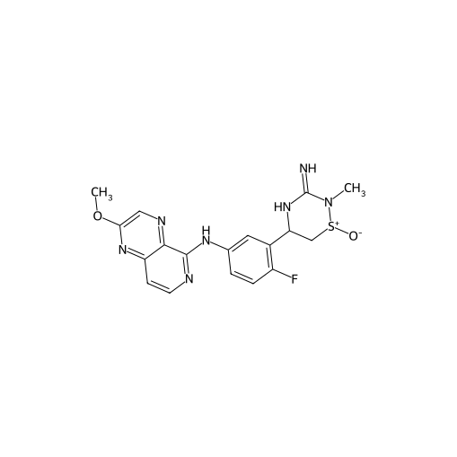 COc1cnc2c(Nc3ccc(F)c(C4C[S+]([O-])N(C)C(=N)N4)c3)nccc2n1